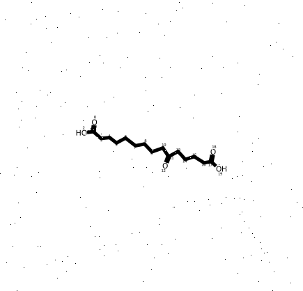 O=C(O)CCCCCCCCC(=O)CCCCC(=O)O